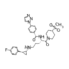 CS(=O)(=O)C1CCN(C(=O)[C@H](CCCN[C@@H]2C[C@H]2c2ccc(F)cc2)NC(=O)c2ccc(-n3ccnn3)cc2)CC1